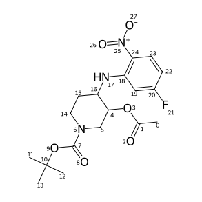 CC(=O)OC1CN(C(=O)OC(C)(C)C)CCC1Nc1cc(F)ccc1[N+](=O)[O-]